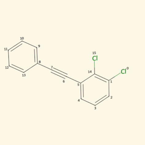 Clc1cccc(C#Cc2ccccc2)c1Cl